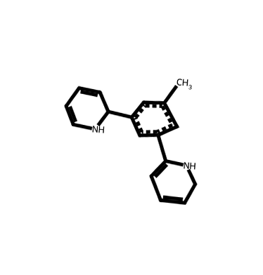 Cc1cc(C2=CC=CCN2)cc(C2C=CC=CN2)c1